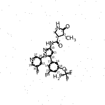 C[C@H]1C(=O)NC[C@@H]1C(=O)Nc1cc(-c2cc(F)cc(OC(F)(F)P)c2)n(-c2cncc(F)c2)n1